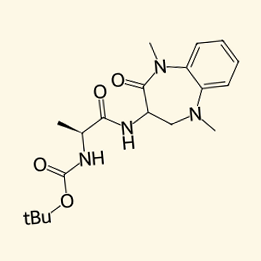 C[C@H](NC(=O)OC(C)(C)C)C(=O)NC1CN(C)c2ccccc2N(C)C1=O